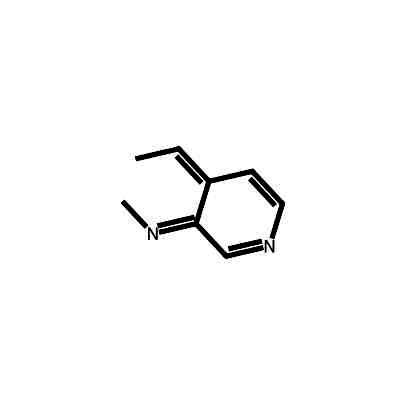 C/C=C1/C=CN=C/C1=N/C